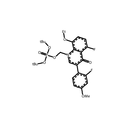 CCOc1ccc(F)c2c(=O)c(-c3ccc(OC)cc3F)cn(COP(=O)(OC(C)(C)C)OC(C)(C)C)c12